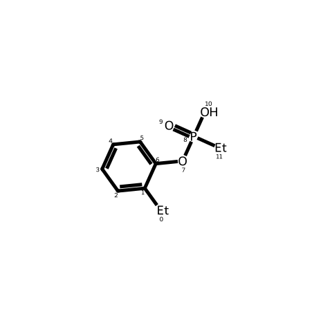 CCc1ccccc1OP(=O)(O)CC